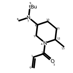 C=CC(=O)N1CC(N(C)C(C)(C)C)CCC1C